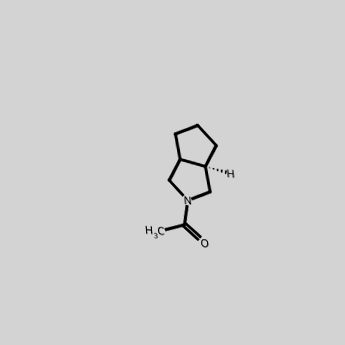 CC(=O)N1CC2CCC[C@H]2C1